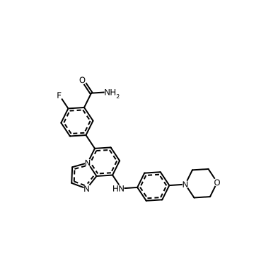 NC(=O)c1cc(-c2ccc(Nc3ccc(N4CCOCC4)cc3)c3nccn23)ccc1F